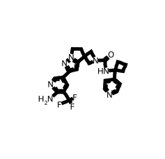 Nc1ncc(-c2cc3n(n2)CCC32CN(C(=O)NC3(c4ccncc4)CCC3)C2)cc1C(F)(F)F